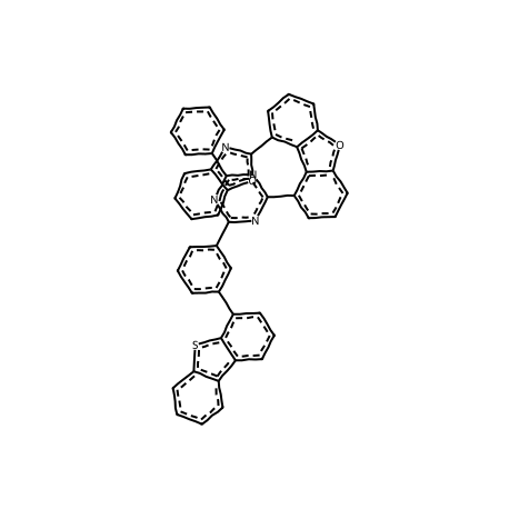 c1ccc(-c2nc(-c3cccc(-c4cccc5c4sc4ccccc45)c3)nc(-c3cccc4oc5cccc(-c6nc7ccccc7o6)c5c34)n2)cc1